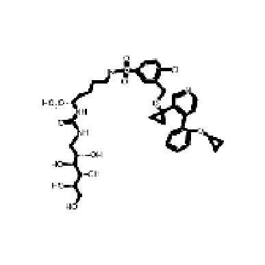 O=C(NC[C@H](O)[C@H](O)[C@H](O)[C@H](O)CO)N[C@@H](CCCCNS(=O)(=O)c1ccc(Cl)c(COC2(c3cnccc3-c3ccccc3OC3CC3)CC2)c1)C(=O)O